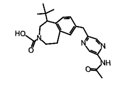 CC(=O)Nc1cnc(Cc2ccc3c(c2)CCN(C(=O)O)CC3C(C)(C)C)cn1